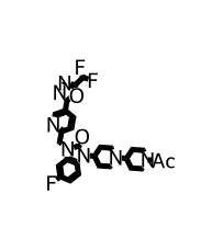 CC(=O)N1CCC(N2CCC(n3c(=O)n(Cc4ccc(-c5nnc(C(F)F)o5)cn4)c4cc(F)ccc43)CC2)CC1